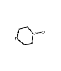 [O-][S+]1CC[N]CC1